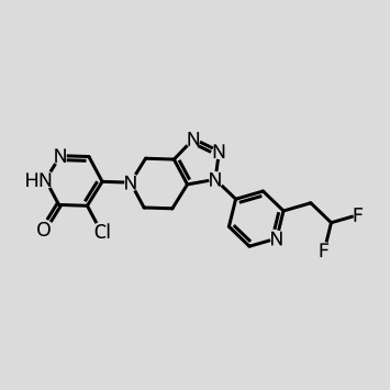 O=c1[nH]ncc(N2CCc3c(nnn3-c3ccnc(CC(F)F)c3)C2)c1Cl